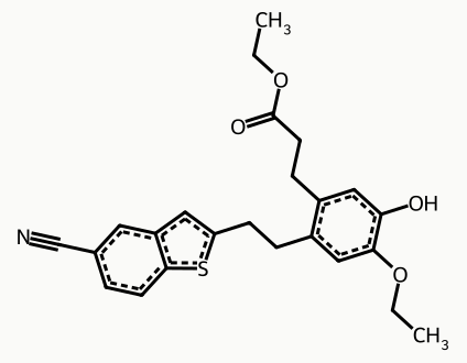 CCOC(=O)CCc1cc(O)c(OCC)cc1CCc1cc2cc(C#N)ccc2s1